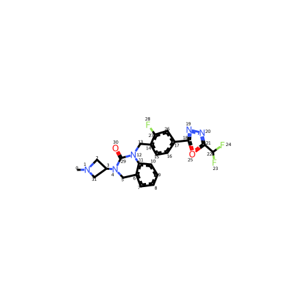 CN1CC(N2Cc3ccccc3N(Cc3ccc(-c4nnc(C(F)F)o4)cc3F)C2=O)C1